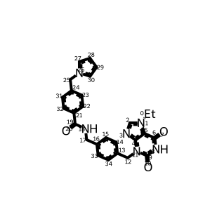 CCn1cnc2c1c(=O)[nH]c(=O)n2Cc1ccc(CNC(=O)c2ccc(Cn3cccc3)cc2)cc1